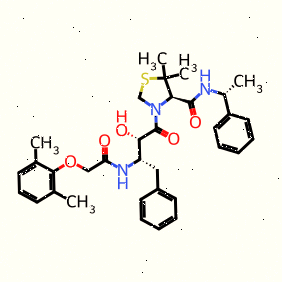 Cc1cccc(C)c1OCC(=O)N[C@@H](Cc1ccccc1)[C@H](O)C(=O)N1CSC(C)(C)[C@H]1C(=O)N[C@H](C)c1ccccc1